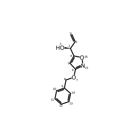 C=C[C@H](O)c1cc(OCc2ccccc2)no1